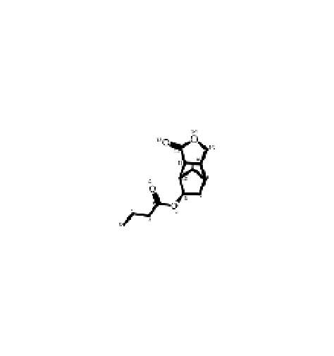 CCCC(=O)OC1CC2CC1C1C(=O)OCC21